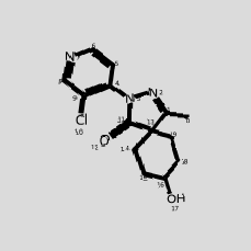 CC1=NN(c2ccncc2Cl)C(=O)C12CCC(O)CC2